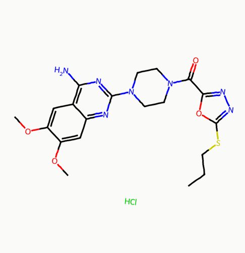 CCCSc1nnc(C(=O)N2CCN(c3nc(N)c4cc(OC)c(OC)cc4n3)CC2)o1.Cl